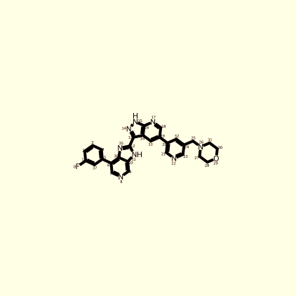 Fc1cccc(-c2cncc3[nH]c(-c4n[nH]c5ncc(-c6cncc(CN7CCOCC7)c6)cc45)nc23)c1